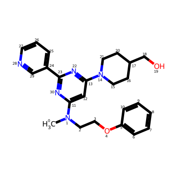 CN(CCOc1ccccc1)c1cc(N2CCC(CO)CC2)nc(-c2cccnc2)n1